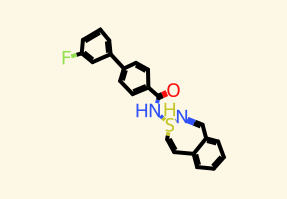 O=C(N[SH]1C=Cc2ccccc2C=N1)c1ccc(-c2cccc(F)c2)cc1